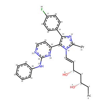 CC(=O)C[C@H](O)C[C@H](O)/C=C/n1c(C(C)C)nc(-c2ccc(F)cc2)c1-c1ccnc(Nc2ccccc2)n1